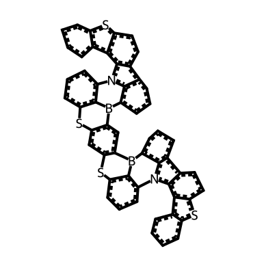 c1cc2c3c(c1)-n1c4c(cccc4c4ccc5sc6ccccc6c5c41)B3c1cc3c(cc1S2)Sc1cccc2c1B3c1cccc3c4ccc5sc6ccccc6c5c4n-2c13